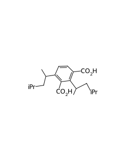 CC(C)CC(C)c1ccc(C(=O)O)c(C(C)CC(C)C)c1C(=O)O